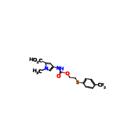 Cn1cc(NC(=O)OCCSc2ccc(C(F)(F)F)cc2)cc1C(=O)O